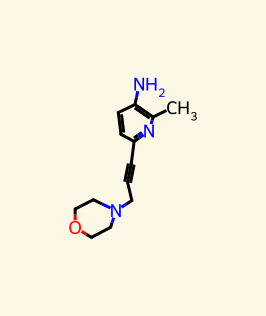 Cc1nc(C#CCN2CCOCC2)ccc1N